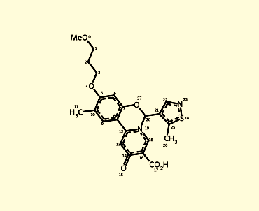 COCCCOc1cc2c(cc1C)-c1cc(=O)c(C(=O)O)cn1C(c1cnsc1C)O2